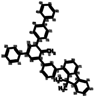 C=C1C(c2cccc(-c3cccc4c3C(C)(C)c3ccccc3-4)c2)=CC(c2ccccc2)=NC1c1ccc(-c2ccccc2)cc1